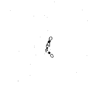 [O]=[Al][P]=O